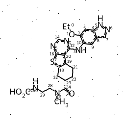 CCOc1cc2[nH]ncc2cc1Nc1ncnc2sc3c(c12)CC[C@H](C(=O)N(C)CCNC(=O)O)C3